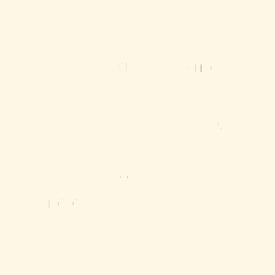 O=Cc1c(Cl)cc(OCC(=O)O)cc1Cl